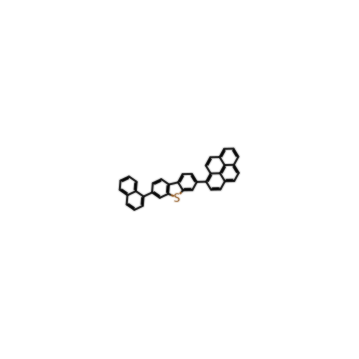 c1ccc2c(-c3ccc4c(c3)sc3cc(-c5ccc6ccc7cccc8ccc5c6c78)ccc34)cccc2c1